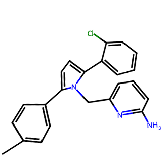 Cc1ccc(-c2ccc(-c3ccccc3Cl)n2Cc2cccc(N)n2)cc1